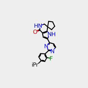 CC(C)c1ccc(-c2nccc(-c3cc4c([nH]3)C3(CCCC3)CNC4=O)n2)c(F)c1